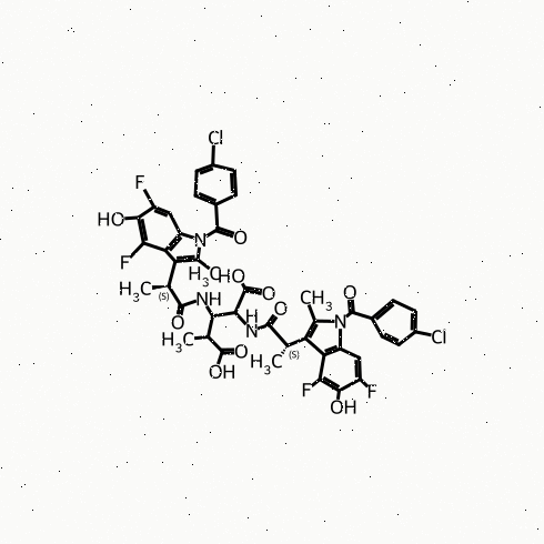 Cc1c([C@H](C)C(=O)NC(C(=O)O)C(NC(=O)[C@@H](C)c2c(C)n(C(=O)c3ccc(Cl)cc3)c3cc(F)c(O)c(F)c23)C(C)C(=O)O)c2c(F)c(O)c(F)cc2n1C(=O)c1ccc(Cl)cc1